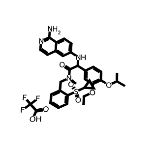 CCOc1cc(C(Nc2ccc3c(N)nccc3c2)C(=O)N(C)Cc2ccccc2S(=O)(=O)C2CC2)ccc1OC(C)C.O=C(O)C(F)(F)F